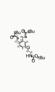 CC(C)(C)OC(=O)NCCOc1ccc(CSC(=O)C(C)(C)C)c(CSC(=O)C(C)(C)C)c1